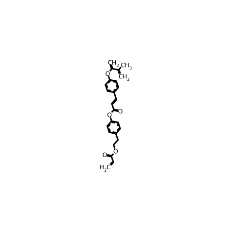 C=CC(=O)OCCc1ccc(OC(=O)/C=C/c2ccc(OC(=C)C(=C)C)cc2)cc1